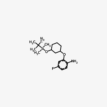 CC(C)(C)[Si](C)(C)OC1CCCC(Oc2cc(F)ccc2N)C1